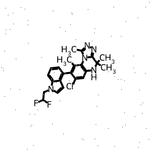 Cc1c(-c2cccc3c2ccn3CC(F)F)c(Cl)cc2c1-n1c(C)nnc1C(C)(C)N2